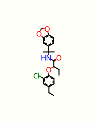 CCc1ccc(OC(CC)C(=O)NC(C)(C)c2ccc3c(c2)OCO3)c(Cl)c1